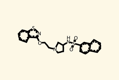 O=S(=O)(NC1CCN(CCOc2nsc3ccccc23)C1)c1ccc2ccccc2c1